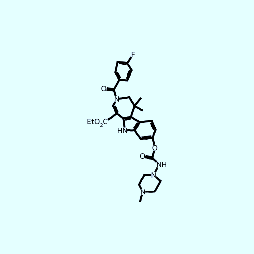 CCOC(=O)C1=CN(C(=O)c2ccc(F)cc2)CC(C)(C)c2c1[nH]c1cc(OC(=O)NN3CCN(C)CC3)ccc21